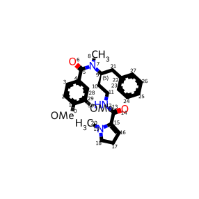 COc1ccc(C(=O)N(C)[C@H](CCNC(=O)C2=CCCN2C)Cc2ccccc2)cc1OC